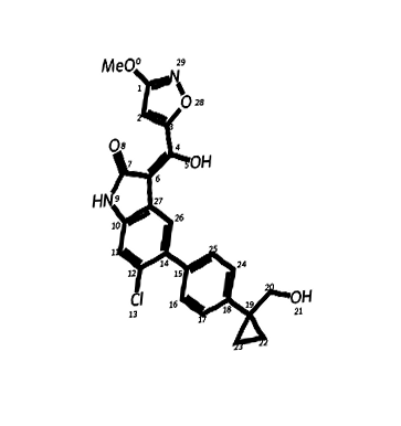 COc1cc(C(O)=C2C(=O)Nc3cc(Cl)c(-c4ccc(C5(CO)CC5)cc4)cc32)on1